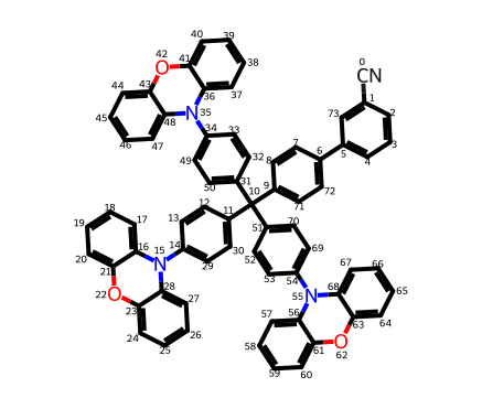 N#Cc1cccc(-c2ccc(C(c3ccc(N4c5ccccc5Oc5ccccc54)cc3)(c3ccc(N4c5ccccc5Oc5ccccc54)cc3)c3ccc(N4c5ccccc5Oc5ccccc54)cc3)cc2)c1